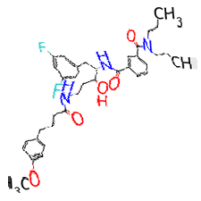 CCCN(CCC)C(=O)c1cccc(C(=O)NC(Cc2cc(F)cc(F)c2)C(O)CCNC(=O)CCCc2ccc(OC)cc2)c1